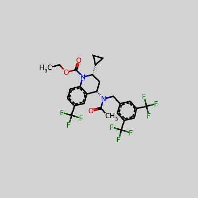 CCOC(=O)N1c2ccc(C(F)(F)F)cc2[C@@H](N(Cc2cc(C(F)(F)F)cc(C(F)(F)F)c2)C(C)=O)C[C@H]1C1CC1